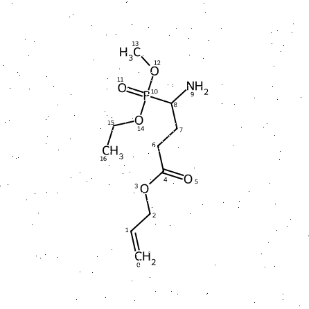 C=CCOC(=O)CCC(N)P(=O)(OC)OCC